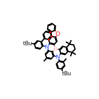 Cc1cc2c3c(c1)N(c1ccc(C(C)(C)C)cc1-c1ccccc1)c1cc4c(cc1B3c1cc3c(cc1N2c1ccc(C(C)(C)C)cc1C)C(C)(C)CCC3(C)C)oc1ccccc14